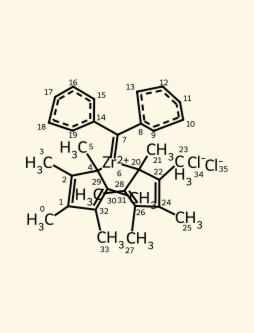 CC1=C(C)[C](C)([Zr+2](=[C](c2ccccc2)c2ccccc2)[C]2(C)C(C)=C(C)C(C)=C2C)C(C)=C1C.[Cl-].[Cl-]